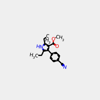 CCc1[nH]c(CC)c(-c2ccc(C#N)cc2)c1C(=O)OC